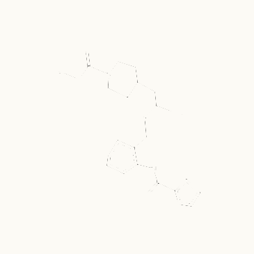 CC(CC1CCN(C(=O)OC(C)(C)C)CC1)NCc1ccccc1NC(=O)c1cccs1